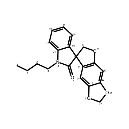 CCCCN1C(=O)C2(COc3cc4c(cc32)OCO4)c2ccccc21